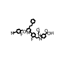 COCCn1c(Cc2ccc(-c3cc(CCc4ccccc4)cc(OCc4ccc(C#N)cc4F)n3)cc2F)nc2ccc(C(=O)O)cc21